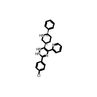 Clc1ccc(C2=NC(c3ccccn3)=C([C@@H]3CC[C@H](c4ccccc4)NC3)NN2)cc1